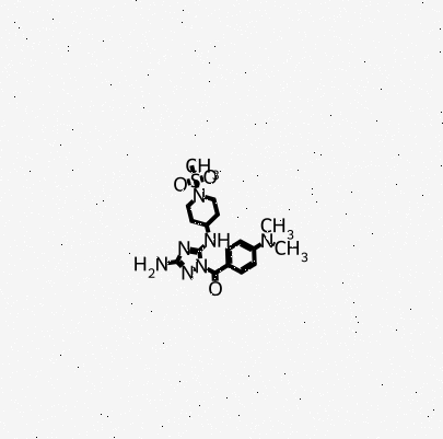 CN(C)c1ccc(C(=O)n2nc(N)nc2NC2CCN(S(C)(=O)=O)CC2)cc1